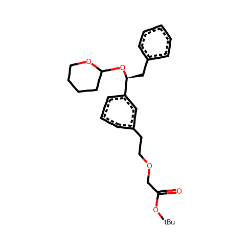 CC(C)(C)OC(=O)COCCc1cccc([C@H](Cc2ccccc2)OC2CCCCO2)c1